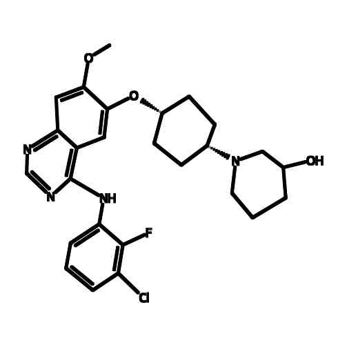 COc1cc2ncnc(Nc3cccc(Cl)c3F)c2cc1O[C@H]1CC[C@@H](N2CCCC(O)C2)CC1